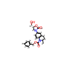 CC1CCc2cc(N3C[C@H](CO)OC3=O)ccc2N1C(=O)OCc1ccccc1